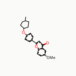 COc1ccc2oc(-c3ccc(OC4CCC(C)CC4)cc3)cc(=O)c2c1